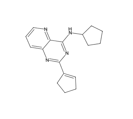 C1=C(c2nc(NC3CCCC3)c3ncccc3n2)CCC1